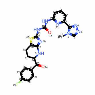 CC(C)n1cnnc1-c1cccc(NC(=O)Nc2nc3c(s2)CCC(C(=O)c2ccc(F)cc2)N3)n1